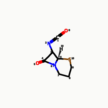 O=C=NC1C(=O)N2CCCS[C@H]12